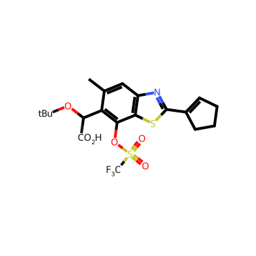 Cc1cc2nc(C3=CCCC3)sc2c(OS(=O)(=O)C(F)(F)F)c1C(OC(C)(C)C)C(=O)O